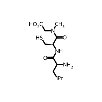 CC(C)C[C@H](N)C(=O)N[C@@H](CS)C(=O)N(C)CC(=O)O